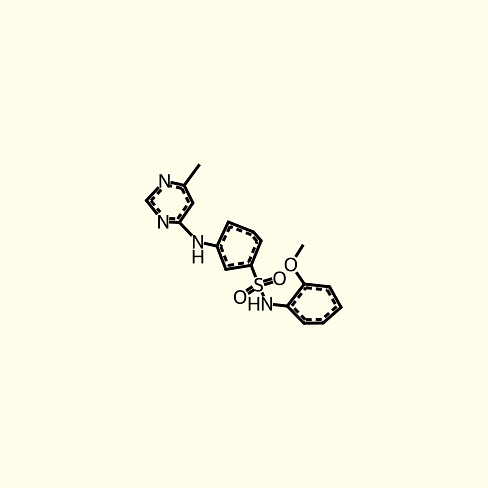 COc1ccccc1NS(=O)(=O)c1cccc(Nc2cc(C)ncn2)c1